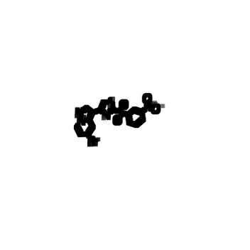 O=[N+]([O-])c1cccc(S(=O)(=O)c2nc(-c3cnn4ccc(Br)cc34)cs2)c1